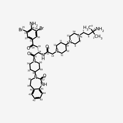 CC(C)(N)CCN1CCN(C2CCN(CC(=O)N[C@@H](CC(=O)c3cc(Br)c(N)c(Br)c3)C(=O)N3CCC(N4CCc5ccccc5NC4=O)CC3)CC2)CC1